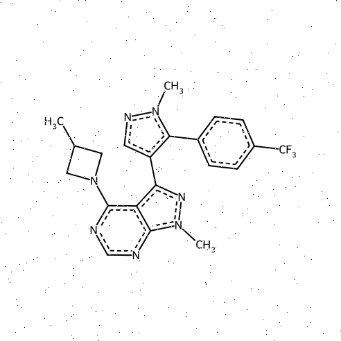 CC1CN(c2ncnc3c2c(-c2cnn(C)c2-c2ccc(C(F)(F)F)cc2)nn3C)C1